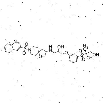 CC(C)(CO)S(=O)(=O)c1cccc(OCC(O)CNC2COC3(CCN(S(=O)(=O)c4cnc5ccccc5c4)CC3)C2)c1